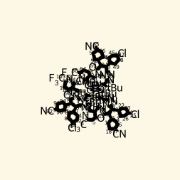 Cc1nc(C(F)(F)F)ccc1Cn1c(=O)c(-c2ccc(C#N)cc2)c(-c2ccc(Cl)cc2)c2nnc(C(OP(=O)(OC(c3nnc4c(-c5ccc(Cl)cc5)c(-c5ccc(C#N)cc5)c(=O)n(Cc5ccc(C(F)(F)F)nc5C)n34)(C(C)(C)C)C(C)(C)C)OC(c3nnc4c(-c5ccc(Cl)cc5)c(-c5ccc(C#N)cc5)c(=O)n(Cc5ccc(C(F)(F)F)nc5C)n34)(C(C)(C)C)C(C)(C)C)(C(C)(C)C)C(C)(C)C)n21